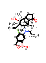 C=C[C@]1(C)C[C@@H](N(CC(=O)O)c2cc3c(cc2F)COB3O)[C@]2(C)[C@H](C)CC[C@]3(CCC(=O)[C@H]32)[C@@H](C)[C@@H]1O